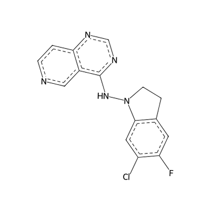 Fc1cc2c(cc1Cl)N(Nc1ncnc3ccncc13)CC2